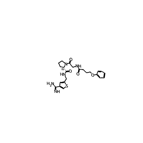 N=C(N)c1csc(CNC(=O)[C@@H]2CCCN2C(=O)CNC(=O)CCCOc2ccccc2)c1